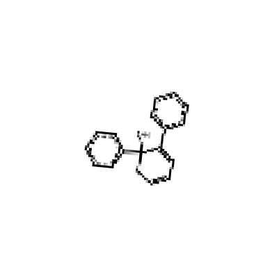 OC1(c2ccccc2)[CH]C=CC=C1c1ccccc1